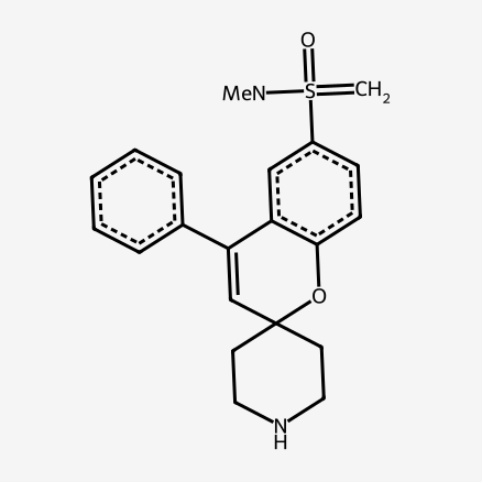 C=S(=O)(NC)c1ccc2c(c1)C(c1ccccc1)=CC1(CCNCC1)O2